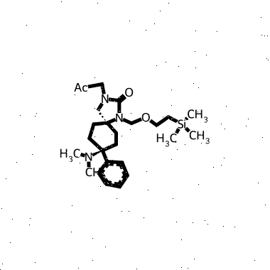 CC(=O)CN1C[C@]2(CC[C@](c3ccccc3)(N(C)C)CC2)N(COCC[Si](C)(C)C)C1=O